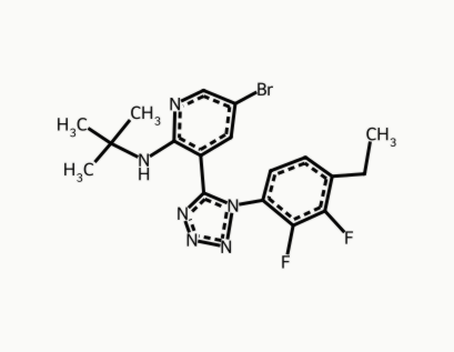 CCc1ccc(-n2nnnc2-c2cc(Br)cnc2NC(C)(C)C)c(F)c1F